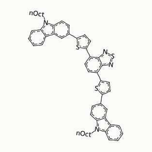 CCCCCCCCn1c2ccccc2c2cc(-c3ccc(-c4ccc(-c5ccc(-c6ccc7c(c6)c6ccccc6n7CCCCCCCC)s5)c5nsnc45)s3)ccc21